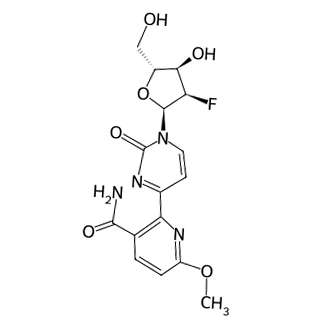 COc1ccc(C(N)=O)c(-c2ccn([C@H]3O[C@H](CO)[C@@H](O)[C@H]3F)c(=O)n2)n1